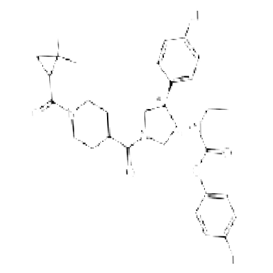 CCN(C(=O)Oc1ccc(F)cc1)[C@@H]1CN(C(=O)C2CCN(C(=O)C3CC3(F)F)CC2)C[C@H]1c1ccc(Cl)cc1